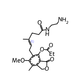 CCC(=O)Oc1c(C/C=C(\C)CCC(=O)NCCN)c(OC)c(C)c2c1C(=O)OC2